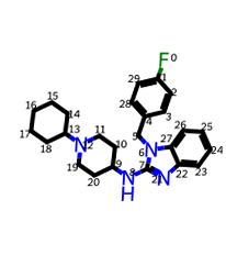 Fc1ccc(Cn2c(NC3CCN(C4CCCCC4)CC3)nc3ccccc32)cc1